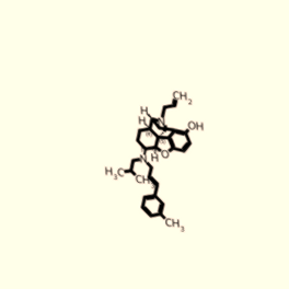 C=CCN1CC[C@@]23c4c5ccc(O)c4C[C@@H]1[C@@H]2CC[C@H](N(CC=Cc1cccc(C)c1)CC(C)C)[C@@H]3O5